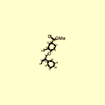 C/C=C(/COc1ccc(C(=O)OC)cc1I)c1ccccc1